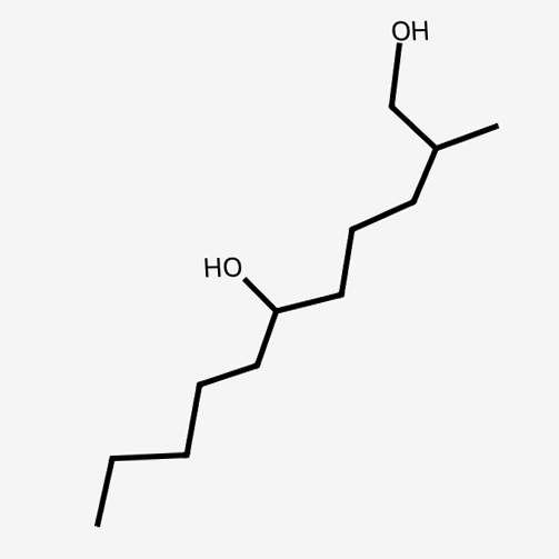 CCCCCC(O)CCCC(C)CO